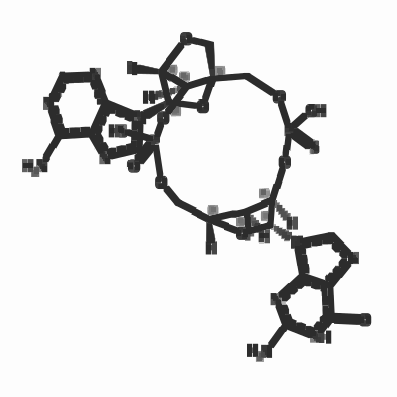 Nc1nc2c(ncn2[C@@H]2O[C@@H]3COP(=O)(S)O[C@H]4[C@H]5OC[C@@]4(COP(O)(=S)O[C@@H]2[C@H]3F)O[C@H]5n2cnc3c(N)ncnc32)c(=O)[nH]1